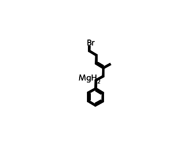 CC(=CCCBr)CCc1ccccc1.[MgH2]